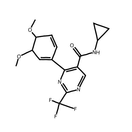 COC1C=CC(c2nc(C(F)(F)F)ncc2C(=O)NC2CC2)=CC1OC